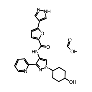 O=C(Nc1cn(C2CCC(O)CC2)nc1-c1ccccn1)c1ccc(-c2cn[nH]c2)o1.O=CO